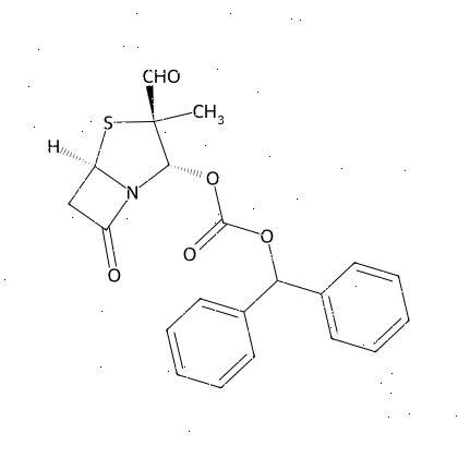 C[C@@]1(C=O)S[C@@H]2CC(=O)N2[C@H]1OC(=O)OC(c1ccccc1)c1ccccc1